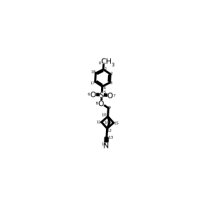 Cc1ccc(S(=O)(=O)OCC23CC(C#N)(C2)C3)cc1